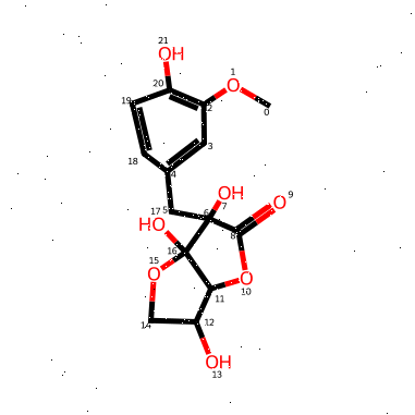 COc1cc(CC2(O)C(=O)OC3C(O)COC32O)ccc1O